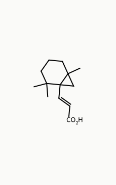 CC1(C)CCCC2(C)CC12/C=C/C(=O)O